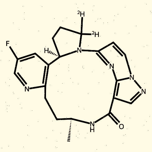 [2H]C1([2H])CC[C@@H]2c3cc(F)cnc3CC[C@@H](C)NC(=O)c3cnn4ccc(nc34)N21